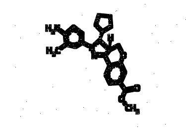 COC(=O)c1ccc2c(c1)OC[C@H]1C2=NN(c2ccc(N)c(C)c2)[C@H]1C1CCCC1